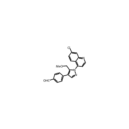 COCc1c(-c2ccc(C=O)cc2)cnn1-c1ccnc2cc(Cl)ccc12